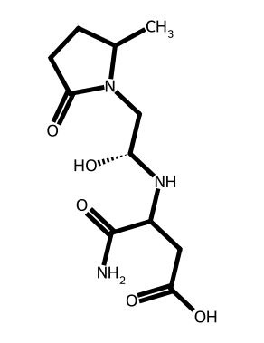 CC1CCC(=O)N1C[C@@H](O)NC(CC(=O)O)C(N)=O